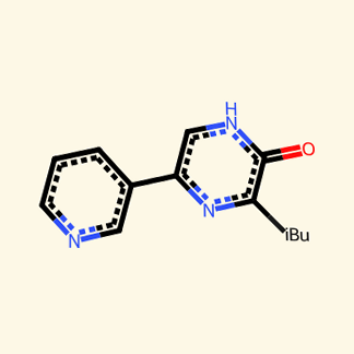 CCC(C)c1nc(-c2cccnc2)c[nH]c1=O